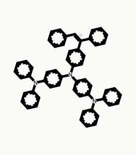 C(=C(\c1ccccc1)c1ccc(N(c2ccc(N(c3ccccc3)c3ccccc3)cc2)c2ccc(N(c3ccccc3)c3ccccc3)cc2)cc1)/c1ccccc1